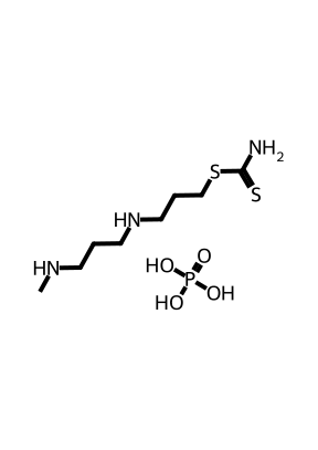 CNCCCNCCCSC(N)=S.O=P(O)(O)O